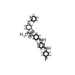 CN(C1CCN(Cc2ccccn2)CC1)S(=O)(=O)c1ccc(Nc2nccc(Nc3ccc(F)cc3)n2)cc1